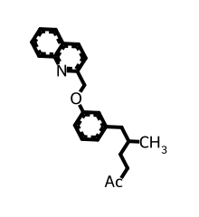 CC(=O)CCC(C)Cc1cccc(OCc2ccc3ccccc3n2)c1